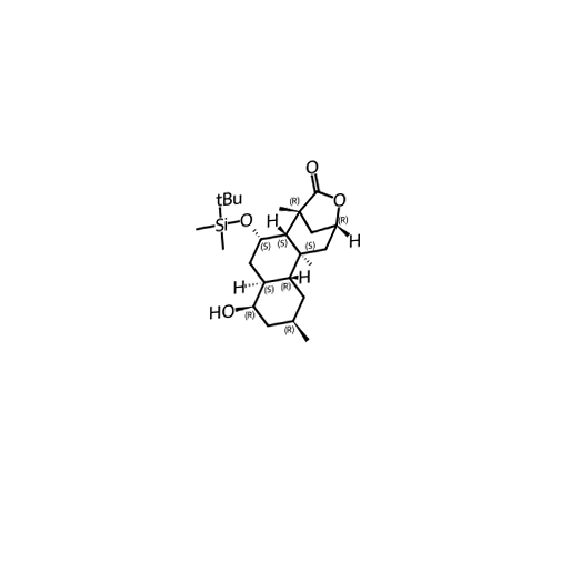 C[C@H]1C[C@@H](O)[C@H]2C[C@H](O[Si](C)(C)C(C)(C)C)[C@H]3[C@@](C)(C[C@@H]4C[C@@]3(C)C(=O)O4)[C@@H]2C1